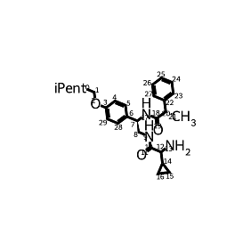 CCCC(C)COc1ccc([C@H](CNC(=O)C(N)C2CC2)NC(=O)[C@@H](C)c2ccccc2)cc1